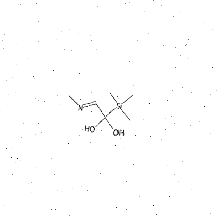 CN=CC(O)(O)[Si](C)(C)C